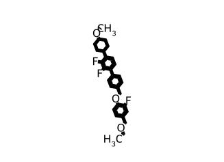 CCOCc1ccc(OCc2ccc(-c3ccc(C4CCC(OC)CC4)c(F)c3F)cc2)c(F)c1